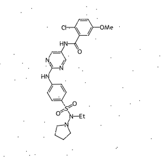 CCN(N1CCCC1)S(=O)(=O)c1ccc(Nc2ncc(NC(=O)c3cc(OC)ccc3Cl)cn2)cc1